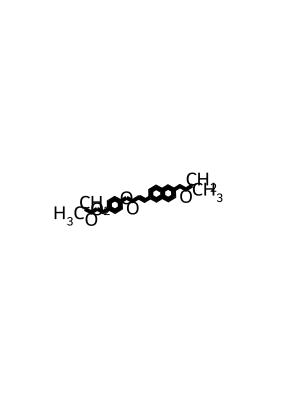 C=C(C)C(=O)Cc1ccc2cc(/C=C/C(=O)Oc3ccc(COC(=O)C(=C)C)cc3)ccc2c1